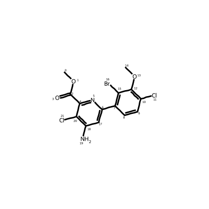 COC(=O)c1nc(-c2ccc(Cl)c(OC)c2Br)cc(N)c1Cl